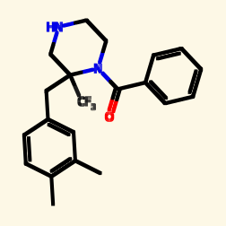 Cc1ccc(CC2(C(F)(F)F)CNCCN2C(=O)c2ccccc2)cc1C